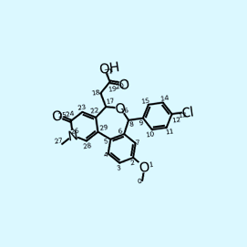 COc1ccc2c(c1)C(c1ccc(Cl)cc1)OC(CC(=O)O)c1cc(=O)n(C)cc1-2